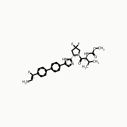 COC(=O)N[C@H](C(=O)N1CC(F)(F)C[C@H]1c1ncc(-c2ccc(-c3ccc(/C(F)=C/N)cc3)cc2)[nH]1)C(C)C